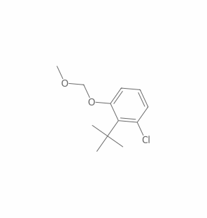 COCOc1cccc(Cl)c1C(C)(C)C